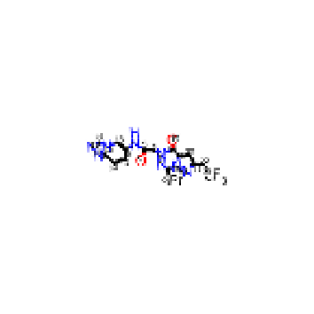 CC(C)c1nn(CC(=O)Nc2ccc3nncn3c2)c(=O)c2cc(CC(F)(F)F)nn12